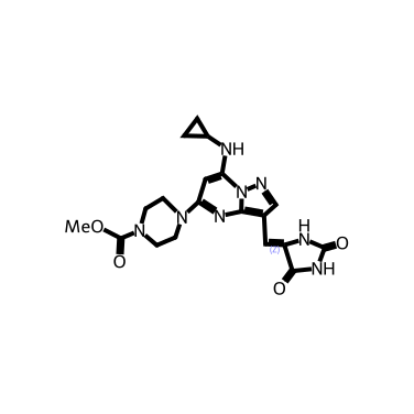 COC(=O)N1CCN(c2cc(NC3CC3)n3ncc(/C=C4\NC(=O)NC4=O)c3n2)CC1